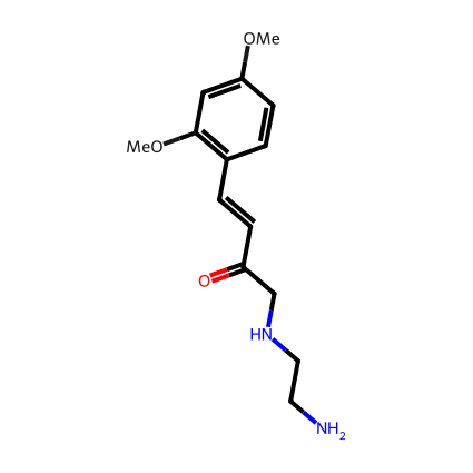 COc1ccc(/C=C/C(=O)CNCCN)c(OC)c1